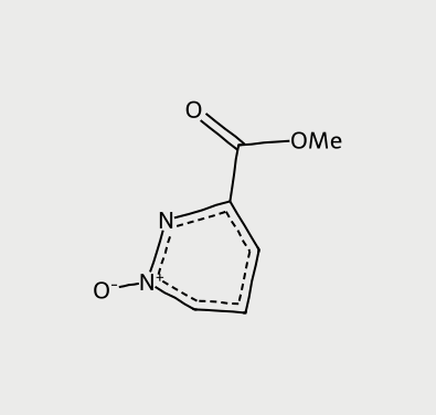 COC(=O)c1ccc[n+]([O-])n1